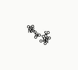 c1ccc(-c2nc(-n3c4ccccc4c4c5c6ccccc6sc5c5cc(-c6ccc7c(c6)c6ccccc6n7-c6ccc7sc8c(-n9c%10ccccc%10c%10ccccc%109)nccc8c7c6)ccc5c43)nc3ccccc23)cc1